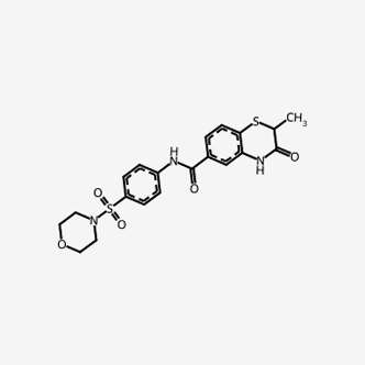 CC1Sc2ccc(C(=O)Nc3ccc(S(=O)(=O)N4CCOCC4)cc3)cc2NC1=O